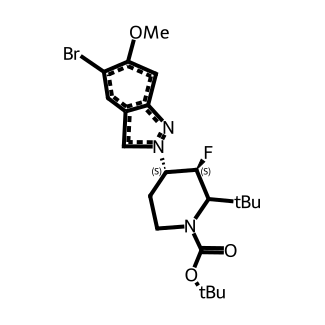 COc1cc2nn([C@H]3CCN(C(=O)OC(C)(C)C)C(C(C)(C)C)[C@@H]3F)cc2cc1Br